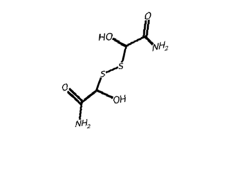 NC(=O)C(O)SSC(O)C(N)=O